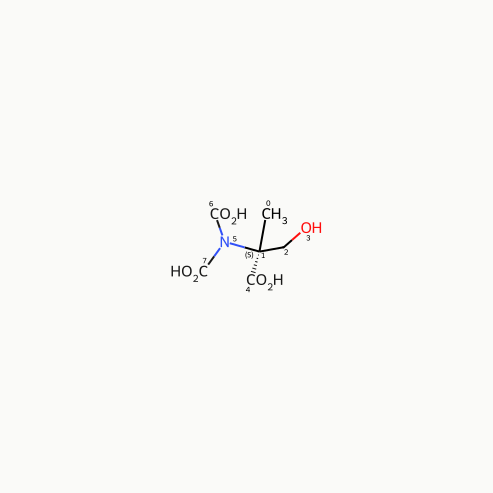 C[C@](CO)(C(=O)O)N(C(=O)O)C(=O)O